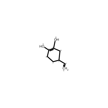 C=CC1CCC(O)=C(O)C1